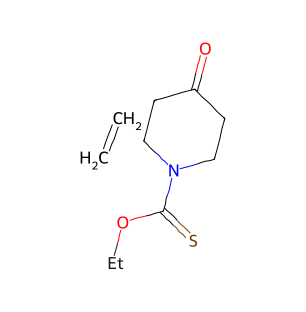 C=C.CCOC(=S)N1CCC(=O)CC1